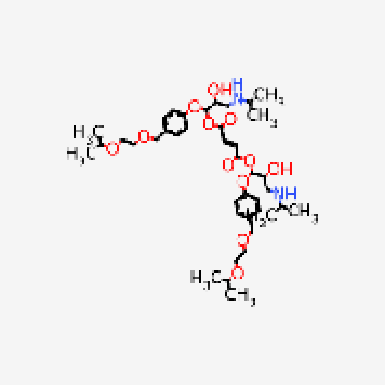 CC(C)NCC(O)C(OC(=O)/C=C/C(=O)OC(Oc1ccc(COCCOC(C)C)cc1)C(O)CNC(C)C)Oc1ccc(COCCOC(C)C)cc1